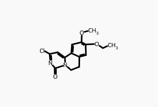 CCOc1cc2c(cc1OC)-c1cc(Cl)nc(=O)n1CC2